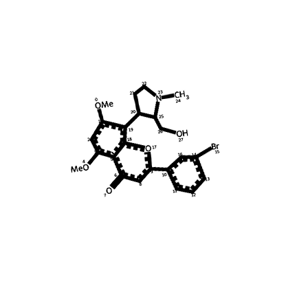 COc1cc(OC)c2c(=O)cc(-c3cccc(Br)c3)oc2c1C1CCN(C)C1CO